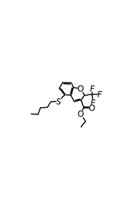 CCCCCSc1cccc2c1C=C(C(=O)OCC)C(C(F)(F)F)O2